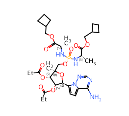 CCC(=O)O[C@H]1[C@H](c2ccc3c(N)ncnn23)O[C@](C)(COP(=O)(N[C@@H](C)C(=O)OCC2CCC2)N[C@@H](C)C(=O)OCC2CCC2)[C@H]1OC(=O)CC